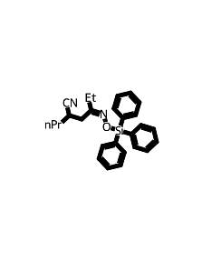 CCCC(C#N)CC(CC)=NO[Si](c1ccccc1)(c1ccccc1)c1ccccc1